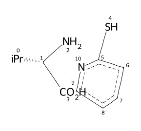 CC(C)[C@H](N)C(=O)O.Sc1ccccn1